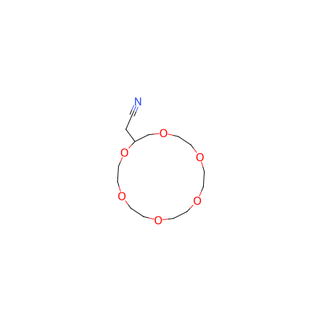 N#CCC1COCCOCCOCCOCCOCCO1